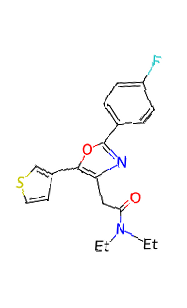 CCN(CC)C(=O)Cc1nc(-c2ccc(F)cc2)oc1-c1ccsc1